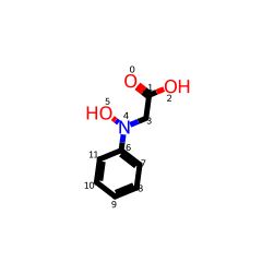 O=C(O)CN(O)c1ccccc1